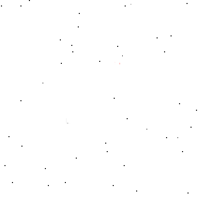 C=CCc1ccccc1[O-].[Li+]